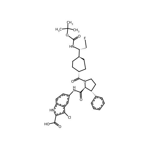 CC(C)(C)OC(=O)N[C@H](CF)[C@H]1CC[C@H](C(=O)N2CC[C@H](c3ccccc3)[C@H]2C(=O)Nc2ccc3[nH]c(C(=O)O)c(Cl)c3c2)CC1